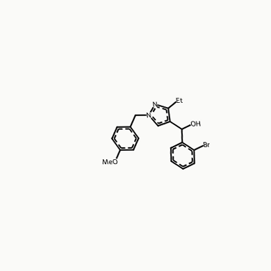 CCc1nn(Cc2ccc(OC)cc2)cc1C(O)c1ccccc1Br